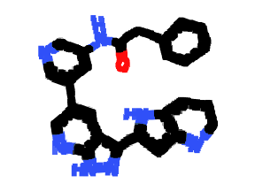 O=C(Cc1ccccc1)Nc1cncc(-c2cnc3[nH]nc(-c4cc5ncccc5[nH]4)c3c2)c1